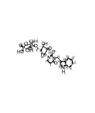 O=c1ccn([C@@H]2O[C@H](COP(=O)(O)OP(=O)(O)O)C(O)[C@@H]2O)c(=O)n1Cc1c[nH]c2ccccc12